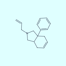 C=CCN1CC2CC=CCC2(c2ccccc2)C1